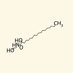 CCCCCCCCCCCCCCCCC(O)C(=O)NCCO